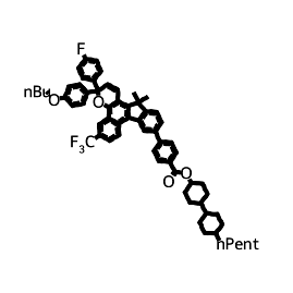 CCCCCC1CCC(C2CCC(OC(=O)c3ccc(-c4ccc5c(c4)-c4c(c6c(c7cc(C(F)(F)F)ccc47)OC(c4ccc(F)cc4)(c4ccc(OCCCC)cc4)C=C6)C5(C)C)cc3)CC2)CC1